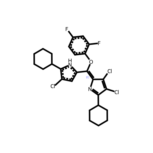 Fc1ccc(O/C(=C2/N=C(C3CCCCC3)C(Cl)=C2Cl)c2cc(Cl)c(C3CCCCC3)[nH]2)c(F)c1